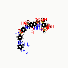 C=CS(=O)(=O)c1cc(/N=N/c2c(S(=O)(=O)O)cc3cc(S(=O)(=O)O)c(/N=N/c4ccc(S(=O)(=O)Nc5ccc(/N=N/c6ccc(N)cc6N)cc5)cc4)c(O)c3c2N)c(S(=O)(=O)O)cc1S(=O)(=O)O